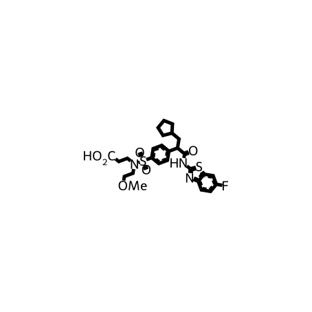 COCCN(CCC(=O)O)S(=O)(=O)c1ccc(C(CC2CCCC2)C(=O)Nc2nc3ccc(F)cc3s2)cc1